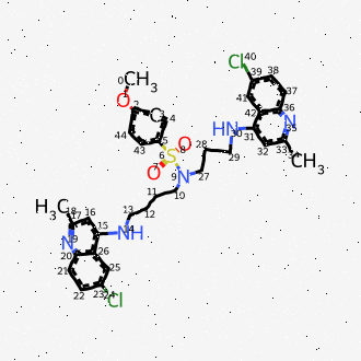 COc1ccc(S(=O)(=O)N(CCCCNc2cc(C)nc3ccc(Cl)cc23)CCCNc2cc(C)nc3ccc(Cl)cc23)cc1